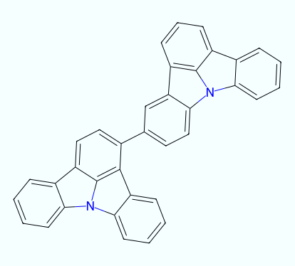 c1ccc2c(c1)c1cccc3c4cc(-c5ccc6c7ccccc7n7c8ccccc8c5c67)ccc4n2c13